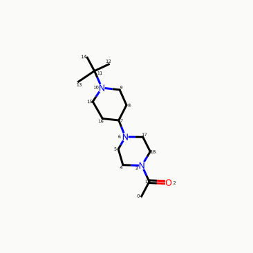 CC(=O)N1CCN(C2CCN(C(C)(C)C)CC2)CC1